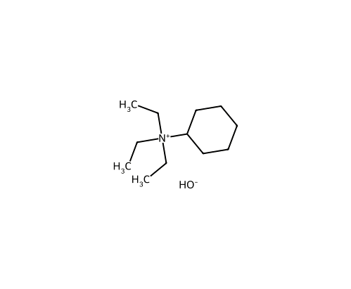 CC[N+](CC)(CC)C1CCCCC1.[OH-]